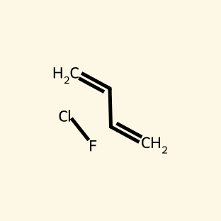 C=CC=C.FCl